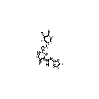 Fc1ccc(COc2ncc(F)c(NCc3cccs3)n2)cc1F